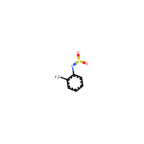 O=S(=O)=Nc1ccccc1C(F)(F)F